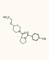 C[C@@]1(C(=O)N2CCC(OCC(=O)O)CC2)CCCN1C(=O)c1ccc(C#N)cc1